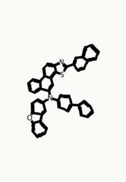 c1ccc(-c2ccc(N(c3ccc4oc5ccccc5c4c3)c3cc4c(ccc5nc(-c6ccc7ccccc7c6)sc54)c4ccccc34)cc2)cc1